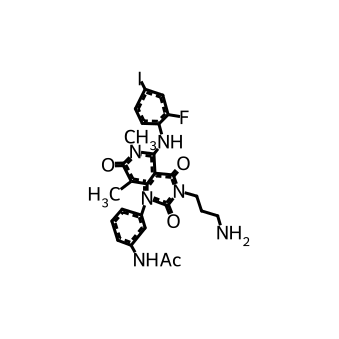 CC(=O)Nc1cccc(-n2c(=O)n(CCCN)c(=O)c3c(Nc4ccc(I)cc4F)n(C)c(=O)c(C)c32)c1